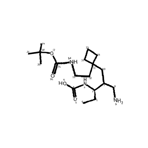 CC[C@@H](NC(=O)O)C(CN)CC1(CCNC(=O)OC(C)(C)C)CCC1